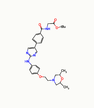 CC1CN(CCOc2ccc(Nc3ncc(-c4ccc(C(=O)NCC(=O)OC(C)(C)C)cc4)cn3)cc2)CC(C)O1